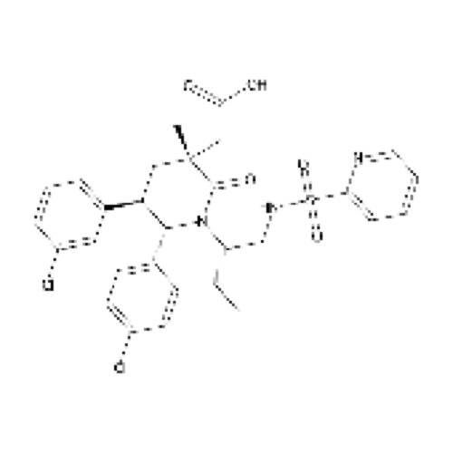 CC[C@@H](CNS(=O)(=O)c1ccccn1)N1C(=O)[C@@](C)(CC(=O)O)C[C@H](c2cccc(Cl)c2)[C@H]1c1ccc(Cl)cc1